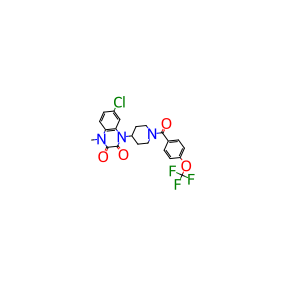 Cn1c(=O)c(=O)n(C2CCN(C(=O)c3ccc(OC(F)(F)F)cc3)CC2)c2cc(Cl)ccc21